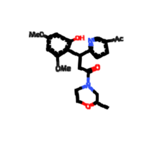 COc1cc(O)c(C(CC(=O)N2CCOC(C)C2)c2ccc(C(C)=O)cn2)c(OC)c1